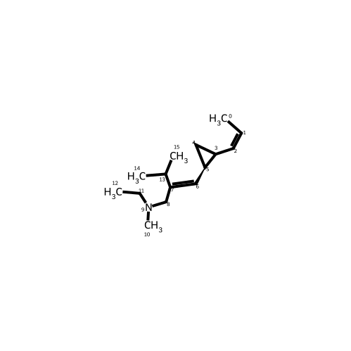 C/C=C\C1C[C@@H]1/C=C(/CN(C)CC)C(C)C